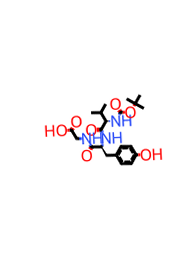 CC(C)[C@H](NC(=O)OC(C)(C)C)C(=O)N[C@@H](Cc1ccc(O)cc1)C(=O)NCC(=O)O